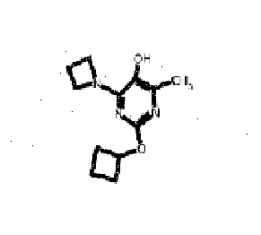 Cc1nc(OC2CCC2)nc(N2CCC2)c1O